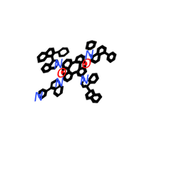 C1=CC2=C(c3ccncc3)C=CN(c3ccc4c5cc(N6CC=C(c7ccc8ccccc8c7)c7ccccc76)cc6oc7c(N(c8ccccc8)c8cccc9c(-c%10ccccc%10)cccc89)ccc(c8ccc(N9C=c%10ccccc%10=C(c%10c(C%11CCCCC%11)ccc%11ccccc%10%11)C9)c9oc3c4c98)c7c65)C2C=C1